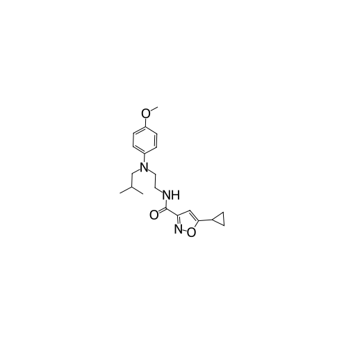 COc1ccc(N(CCNC(=O)c2cc(C3CC3)on2)CC(C)C)cc1